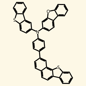 c1ccc2c(c1)oc1cc(N(c3ccc(-c4ccc5ccc6c7ccccc7sc6c5c4)cc3)c3ccc4sc5ccccc5c4c3)ccc12